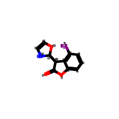 O=C1Oc2cccc(P)c2C1C1NC=CO1